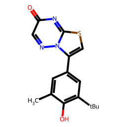 Cc1cc(-c2csc3nc(=O)cnn23)cc(C(C)(C)C)c1O